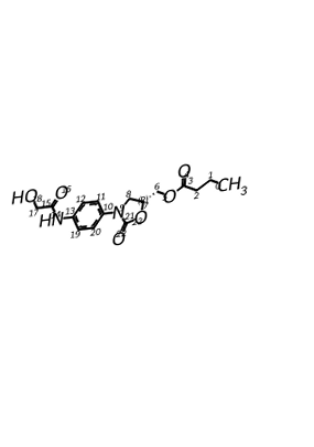 CCCC(=O)OC[C@H]1CN(c2ccc(NC(=O)CO)cc2)C(=O)O1